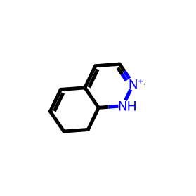 C1=CC2=CC=[N+]NC2CC1